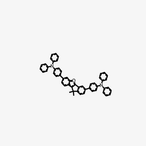 CC1(C)c2ccc(-c3ccc(N(c4ccccc4)c4ccccc4)cc3)cc2-c2oc3cc(-c4ccc(N(c5ccccc5)c5ccccc5)cc4)ccc3c21